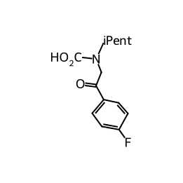 CCCC(C)N(CC(=O)c1ccc(F)cc1)C(=O)O